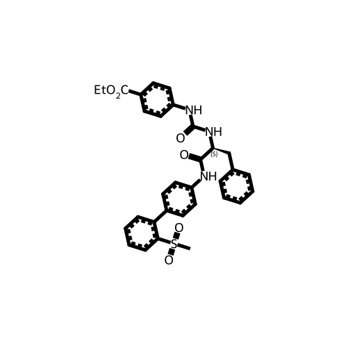 CCOC(=O)c1ccc(NC(=O)N[C@@H](Cc2ccccc2)C(=O)Nc2ccc(-c3ccccc3S(C)(=O)=O)cc2)cc1